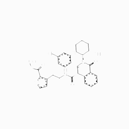 CC(C)(C)OC(=O)c1sccc1CCNC(=O)[C@@H]1c2ccccc2C(=O)N([C@H]2CCCC[C@@H]2O)[C@H]1c1ccc(Cl)cc1Cl